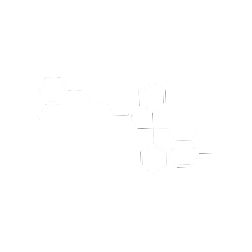 Nc1cccc(OCCCNCC(Cc2cccc(C(F)(F)F)c2Cl)(c2ccccc2)c2ccccc2)c1